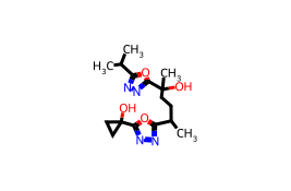 CC(C)c1nnc(C(C)(O)CCC(C)c2nnc(C3(O)CC3)o2)o1